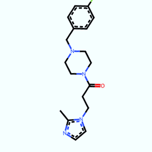 Cc1nccn1CCC(=O)N1CCN(Cc2ccc(F)cc2)CC1